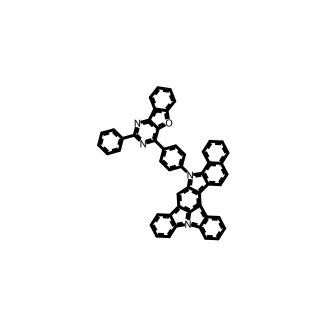 c1ccc(-c2nc(-c3ccc(-n4c5cc6c7ccccc7n7c8ccccc8c(c5c5ccc8ccccc8c54)c67)cc3)c3oc4ccccc4c3n2)cc1